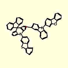 c1ccc2c(c1)-c1ccccc1C21c2ccccc2N(c2ccc3c(c2)sc2ccccc23)c2cc(-c3ccc4c(c3)c3ccccc3n4-c3ccc4c(c3)oc3ccccc34)ccc21